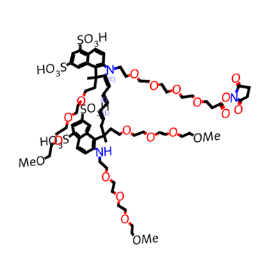 COCCOCCOCCOCCNc1ccc2c(S(=O)(=O)O)cc(S(=O)(=O)O)cc2c1C(C)(C/C=C/C=C/C=C1/N(CCOCCOCCOCCOCCC(=O)ON2C(=O)CCC2=O)c2ccc3c(S(=O)(=O)O)cc(S(=O)(=O)O)cc3c2C1(C)CCOCCOCCOCCOC)CCOCCOCCOCCOC